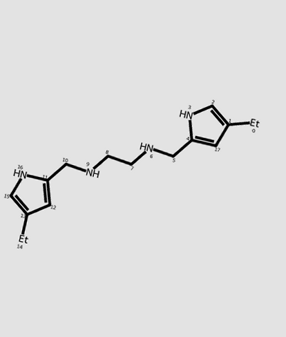 CCc1c[nH]c(CNCCNCc2cc(CC)c[nH]2)c1